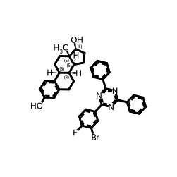 C[C@]12CC[C@@H]3c4ccc(O)cc4CC[C@H]3[C@@H]1CC[C@@H]2O.Fc1ccc(-c2nc(-c3ccccc3)nc(-c3ccccc3)n2)cc1Br